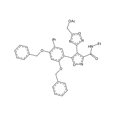 CCNC(=O)c1noc(-c2cc(C(C)C)c(OCc3ccccc3)cc2OCc2ccccc2)c1-c1noc(COC(C)=O)n1